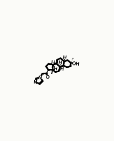 C[C@]1(O)CC[C@H]2[C@@H](CC[C@@H]3[C@@H]2CC[C@]2(C)[C@@H](C(=O)Cn4ccnc4)CC[C@@H]32)C1